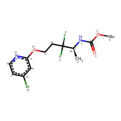 C[C@H](NC(=O)OC(C)(C)C)C(F)(F)CCOc1cc(Br)ccn1